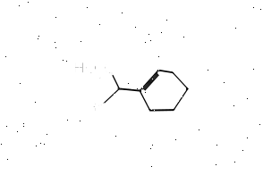 O=C(O)C(Br)C1=CCCCC1